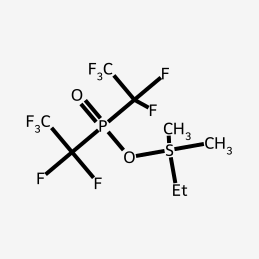 CCS(C)(C)OP(=O)(C(F)(F)C(F)(F)F)C(F)(F)C(F)(F)F